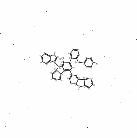 Cc1ccc(Nc2ccccc2-c2cc(-c3ccc4sc5ccccc5c4c3)c3c4ccccc4n4c3c2Bc2sc3ccccc3c2-4)cc1